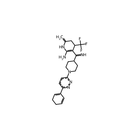 C=C1CC(C(F)(F)F)C(C(=N)C2CCN(c3ccc(C4=CCCC=C4)nn3)CC2)=C(N)N1